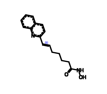 O=C(CCCC/C=C/c1ccc2ccccc2n1)NO